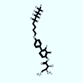 CC[C@H](C)[C@H](Cl)C(=O)Oc1ccc(-c2ccc(OCCCCC(F)(F)C(F)(F)C(F)(F)C(F)(F)F)cc2)c(F)c1F